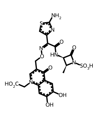 C[C@H]1[C@@H](NC(=O)/C(=N\OCc2cn(CC(=O)O)c3cc(O)c(O)cc3c2=O)c2csc(N)n2)C(=O)N1S(=O)(=O)O